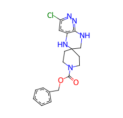 O=C(OCc1ccccc1)N1CCC2(CC1)CNc1nnc(Cl)cc1N2